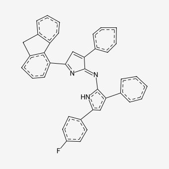 Fc1ccc(-c2cc(-c3ccccc3)c(N=C3N=C(c4cccc5c4-c4ccccc4C5)C=C3c3ccccc3)[nH]2)cc1